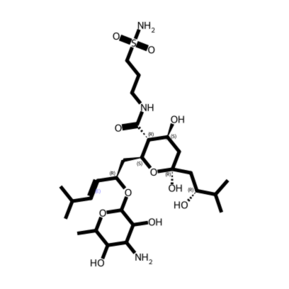 CC(C)/C=C/[C@@H](C[C@@H]1O[C@](O)(C[C@@H](O)C(C)C)C[C@H](O)[C@H]1C(=O)NCCCS(N)(=O)=O)OC1OC(C)C(O)C(N)C1O